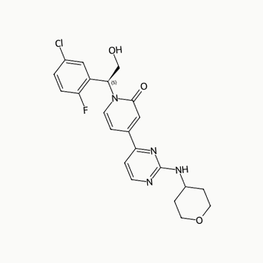 O=c1cc(-c2ccnc(NC3CCOCC3)n2)ccn1[C@H](CO)c1cc(Cl)ccc1F